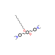 CCCCCCCCCCCCOc1cc(/C=C/c2ccc(N(CC)CC)cc2)c(OC)cc1/C=C/c1ccc(N(CC)CC)cc1